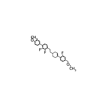 CCOCc1ccc(C2=CCC(CCc3ccc(-c4ccc(OC)cc4)c(F)c3F)CC2)c(F)c1